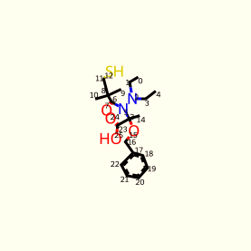 CCN(CC)N(C(=O)C(C)(C)CS)C(C)(OCc1ccccc1)C(=O)O